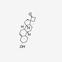 C[C@]12CC[C@H](O)CC1=CC[C@@H]1[C@@H]2CC[C@@]2(C)[C@H]1CC[C@@]21CCC1=O